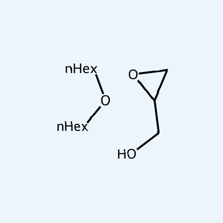 CCCCCCOCCCCCC.OCC1CO1